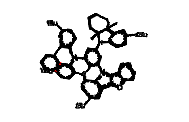 CC(C)(C)c1ccc(N2c3cc(C(C)(C)C)ccc3B3c4c2cc(N2c5ccc(C(C)(C)C)cc5C5(C)CCCCC25C)cc4-n2c4c3cc(C(C)(C)C)cc4c3oc4ccccc4c32)c(-c2ccccc2)c1